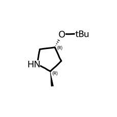 C[C@@H]1C[C@@H](OC(C)(C)C)CN1